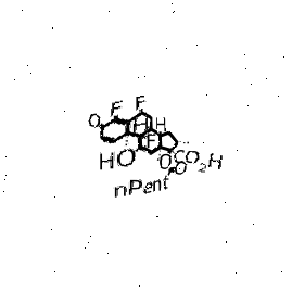 CCCCCC(=O)O[C@]1(C(=O)O)[C@@H](C)C[C@H]2[C@@H]3C[C@H](F)C4=C(F)C(=O)C=C[C@]4(C)[C@@]3(F)[C@@H](O)C[C@@]21C